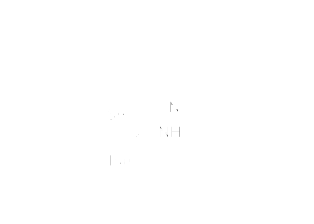 [Se]=C([SeH])NN1CCCCC1